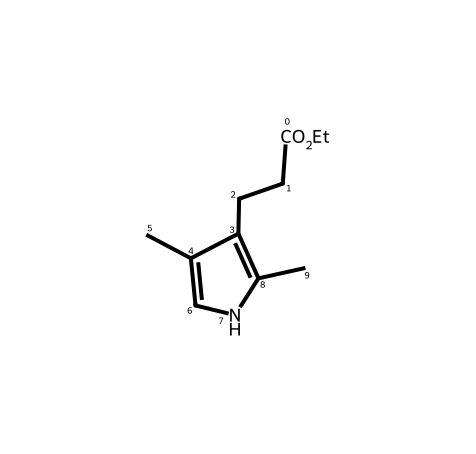 CCOC(=O)CCc1c(C)c[nH]c1C